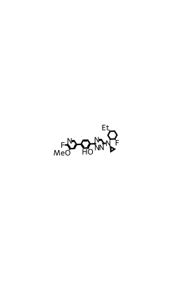 CC[C@@H]1CC[C@H](F)[C@H](N(c2cnc(-c3ccc(-c4cnc(F)c(OC)c4)cc3O)nn2)C2CC2)C1